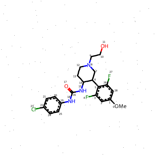 COc1cc(F)c(C2CN(CCO)CCC2NC(=O)Nc2ccc(Cl)cc2)c(F)c1